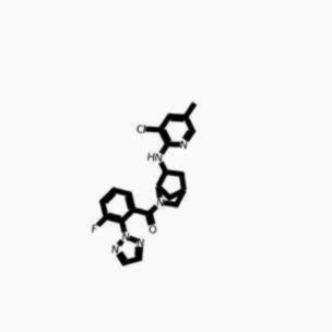 Cc1cnc(NC2CC3CC2N(C(=O)c2cccc(F)c2-n2nccn2)C3)c(Cl)c1